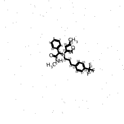 CNC(=O)C(c1ccccc1)N(CCCc1ccc(C(F)(F)F)cc1)c1cc(C)on1